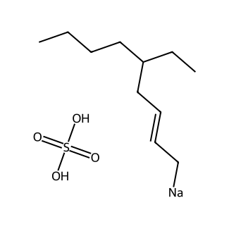 CCCCC(CC)CC=C[CH2][Na].O=S(=O)(O)O